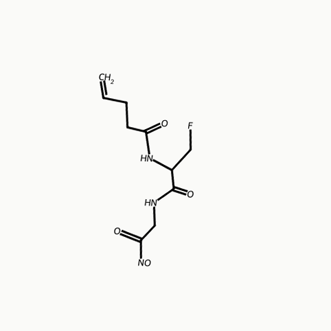 C=CCCC(=O)NC(CF)C(=O)NCC(=O)N=O